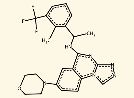 Cc1c(C(C)Nc2nc3nncn3c3ccc(N4CCOCC4)cc23)cccc1C(F)(F)F